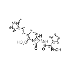 Cn1nnnc1SCC1=C(C(=O)O)N2C(=O)C(NC(=O)/C(=N/O)c3cnsc3)[C@H]2SC1